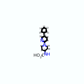 O=C(O)NC1CCN(c2ccc(-c3ccccc3)cn2)CC1